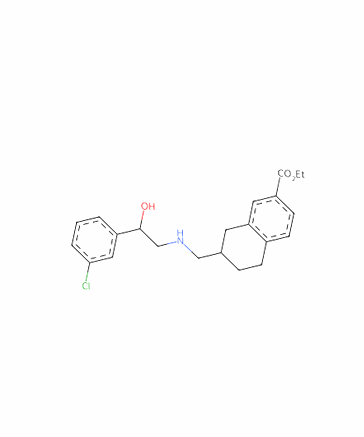 CCOC(=O)c1ccc2c(c1)CC(CNCC(O)c1cccc(Cl)c1)CC2